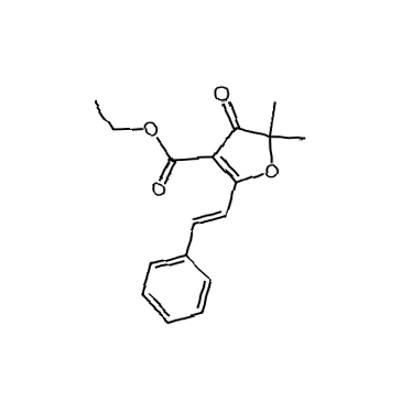 CCOC(=O)C1=C(C=Cc2ccccc2)OC(C)(C)C1=O